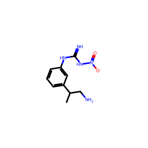 CC(CN)c1cccc(NC(=N)N[N+](=O)[O-])c1